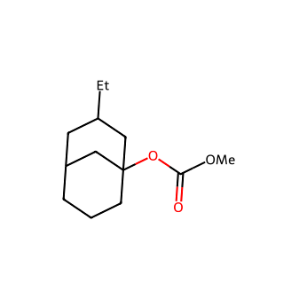 CCC1CC2CCCC(OC(=O)OC)(C1)C2